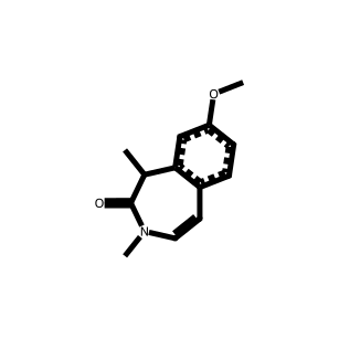 COc1ccc2c(c1)C(C)C(=O)N(C)C=C2